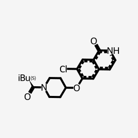 CC[C@H](C)C(=O)N1CCC(Oc2cc3cc[nH]c(=O)c3cc2Cl)CC1